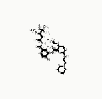 C=C/N=C1/C=NC(NCCN2CCOCC2)=N/C1=C(/N)Nc1cc(C(=O)NC(=N)/C=C(\OC)C(C)(C)C)ccc1Cl